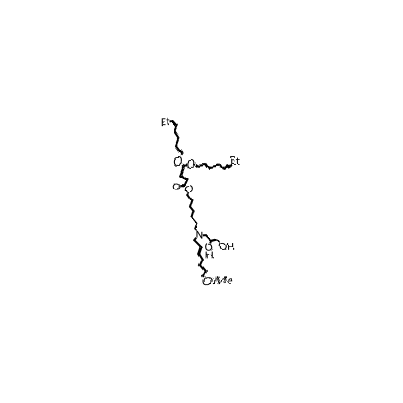 CC/C=C\CCCCOC(CCC(=O)OCCCCCCCN(CCCCCCCOC)CC(O)CO)OCCCC/C=C\CC